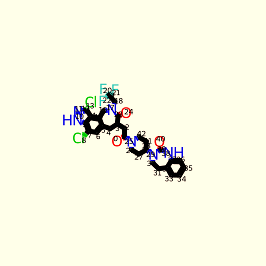 O=C(CC1Cc2cc(Cl)c3[nH]nc(Cl)c3c2CN(CC(F)(F)F)C1=O)N1CCC(N2CCc3ccccc3NC2=O)CC1